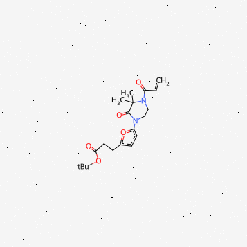 C=CC(=O)N1CCN(c2ccc(CCC(=O)OC(C)(C)C)o2)C(=O)C1(C)C